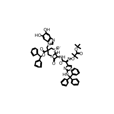 CC(C)(C)OC(=O)C(C)(C)ON=C(C(=O)NC1C(=O)N2CC(Cn3cnc4cc(O)c(O)cc43)(C(=O)OC(c3ccccc3)c3ccccc3)C[S+]([O-])[C@H]12)c1csc(NC(c2ccccc2)(c2ccccc2)c2ccccc2)n1